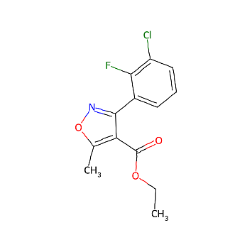 CCOC(=O)c1c(-c2cccc(Cl)c2F)noc1C